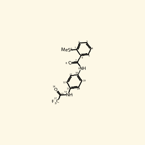 CSc1ccccc1C(=O)Nc1ccc(NC(=O)C(F)(F)F)cc1